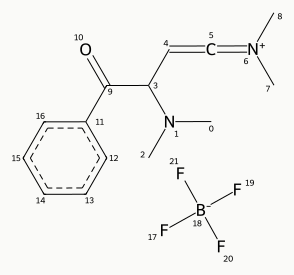 CN(C)C(C=C=[N+](C)C)C(=O)c1ccccc1.F[B-](F)(F)F